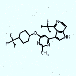 Cc1nc(OC2CCC(C(F)(F)F)CC2)cc(-c2c[nH]c3ccnc(C(F)(F)F)c23)n1